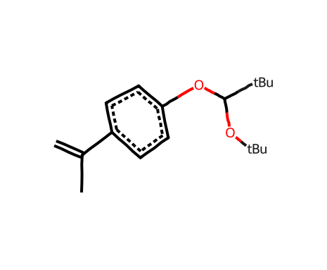 C=C(C)c1ccc(OC(OC(C)(C)C)C(C)(C)C)cc1